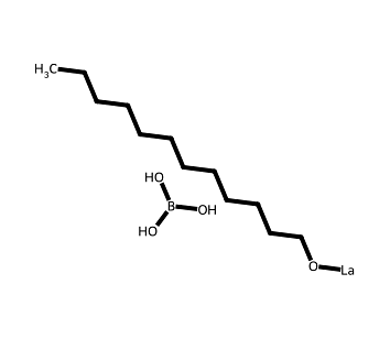 CCCCCCCCCCCC[O][La].OB(O)O